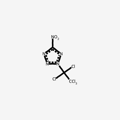 O=[N+]([O-])c1nnn(C(Cl)(Cl)C(Cl)(Cl)Cl)n1